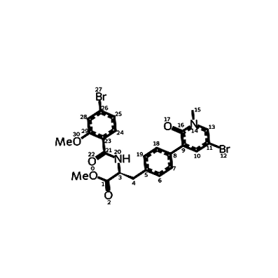 COC(=O)[C@H](Cc1ccc(-c2cc(Br)cn(C)c2=O)cc1)NC(=O)c1ccc(Br)cc1OC